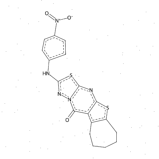 O=c1c2c3c(sc2nc2sc(Nc4ccc([N+](=O)[O-])cc4)nn12)CCCCC3